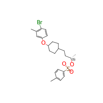 Cc1ccc(S(=O)(=O)O[C@@H](C)CCC2CCC(Oc3ccc(Br)c(C)c3)CC2)cc1